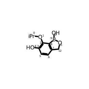 CC(C)Oc1c(O)ccc2c1B(O)OC2